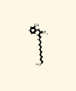 CCCCCCCCCCCC=CC(C)Cc1ccccc1O